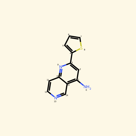 Nc1cc(-c2cccs2)nc2ccncc12